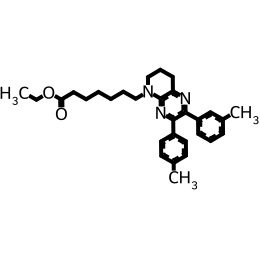 CCOC(=O)CCCCCCN1CCCc2nc(-c3cccc(C)c3)c(-c3ccc(C)cc3)nc21